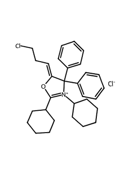 ClCCC=C1OC(C2CCCCC2)=[N+](C2CCCCC2)C1(c1ccccc1)c1ccccc1.[Cl-]